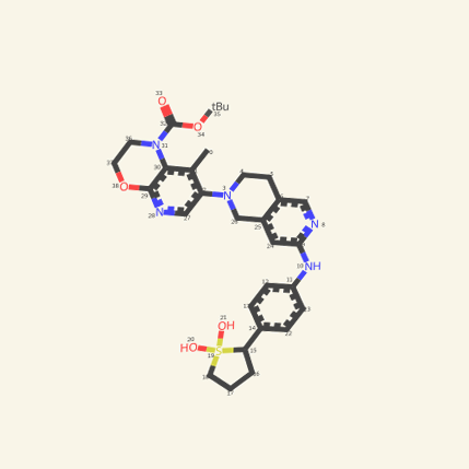 Cc1c(N2CCc3cnc(Nc4ccc(C5CCCS5(O)O)cc4)cc3C2)cnc2c1N(C(=O)OC(C)(C)C)CCO2